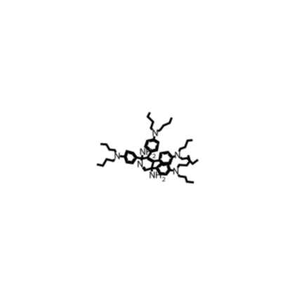 CCCCN(CCCC)c1ccc(C2=C(c3ccc(N(CCCC)CCCC)cc3)C(N)(c3ccc(N(CCCC)CCCC)cc3)N=CC2(N)c2ccc(N(CCCC)CCCC)cc2)cc1